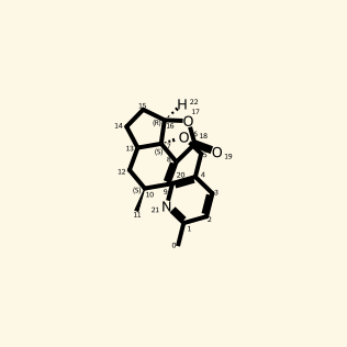 Cc1ccc(CO[C@]23C4=C[C@@H](C)CC2CC[C@H]3OC4=O)cn1